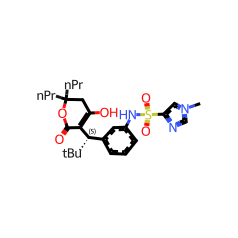 CCCC1(CCC)CC(O)=C([C@H](c2cccc(NS(=O)(=O)c3cn(C)cn3)c2)C(C)(C)C)C(=O)O1